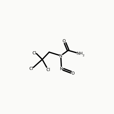 NC(=O)N(CC(Cl)(Cl)Cl)N=O